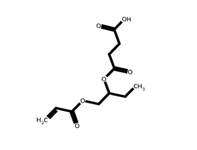 C=CC(=O)OCC(CC)OC(=O)CCC(=O)O